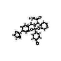 NC(=O)C(c1ccccc1)N(Cc1ccc(-c2ncco2)cc1)S(=O)(=O)c1ccc(Cl)cc1